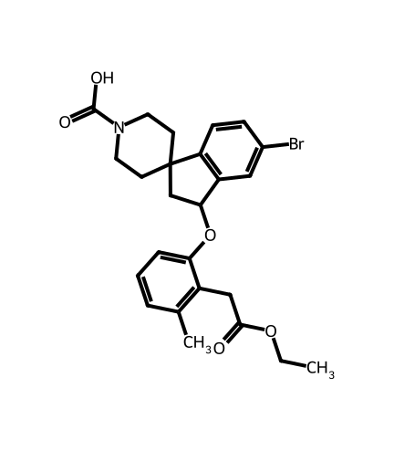 CCOC(=O)Cc1c(C)cccc1OC1CC2(CCN(C(=O)O)CC2)c2ccc(Br)cc21